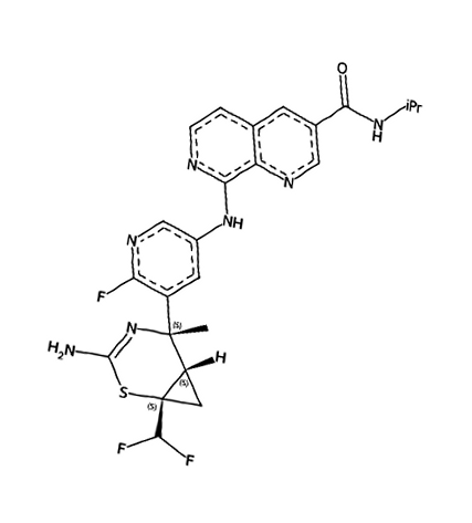 CC(C)NC(=O)c1cnc2c(Nc3cnc(F)c([C@@]4(C)N=C(N)S[C@@]5(C(F)F)C[C@@H]45)c3)nccc2c1